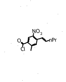 CCC/C=C/c1cc(C)c(C(=O)Cl)cc1[N+](=O)[O-]